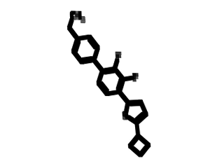 CCc1ccc(-c2ccc(-c3ccc(C4CCC4)s3)c(F)c2F)cc1